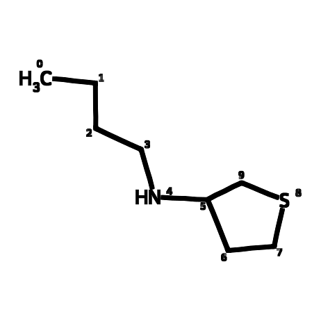 CCCCNC1CCSC1